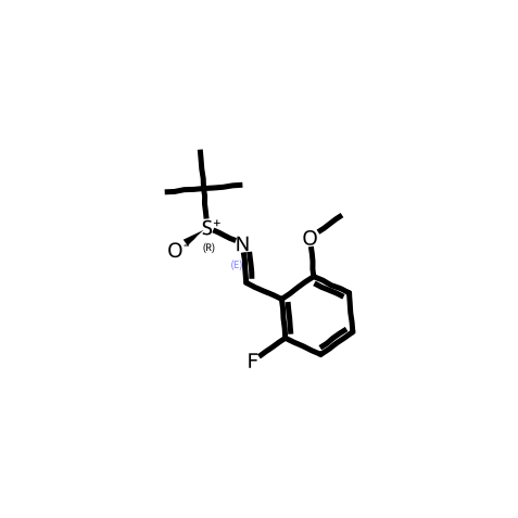 COc1cccc(F)c1/C=N/[S@@+]([O-])C(C)(C)C